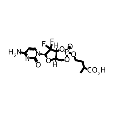 CC(CCOP1(=O)OC[C@H]2O[C@@H](n3ccc(N)nc3=O)C(F)(F)[C@@H]2O1)C(=O)O